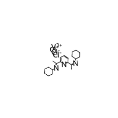 CC(=NC1CCCCC1)c1cccc(C(C)=NC2CCCCC2)n1.[Cl-].[Cl-].[Cl-].[V+3]